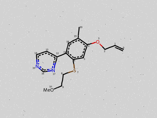 C=CCOc1cc(SCCOC)c(-c2ccncn2)cc1C